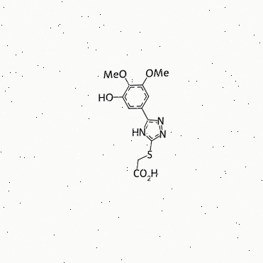 COc1cc(-c2nnc(SCC(=O)O)[nH]2)cc(O)c1OC